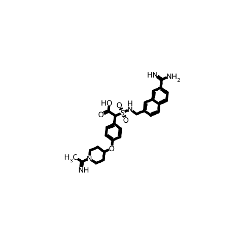 CC(=N)N1CCC(Oc2ccc(C(C(=O)O)S(=O)(=O)NCc3ccc4ccc(C(=N)N)cc4c3)cc2)CC1